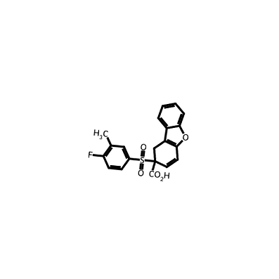 Cc1cc(S(=O)(=O)C2(C(=O)O)C=Cc3oc4ccccc4c3C2)ccc1F